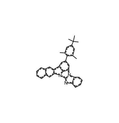 Cc1cc(C(C)(C)C)cc(C)c1-c1cc2c3cc4ccccc4cc3n3c2c(c1)n1c2ccccc2nc13